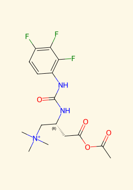 CC(=O)OC(=O)C[C@H](C[N+](C)(C)C)NC(=O)Nc1ccc(F)c(F)c1F